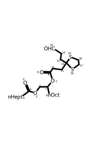 CCCCCCCCC(COC(=O)CCCCCCC)OC(=O)CCC1(CCC=O)SCCS1